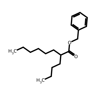 CCCCCCC(CCCC)C(=O)OCc1ccccc1